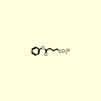 O=C(O)CCCC(=O)Oc1ccccc1